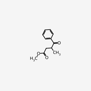 COC(=O)CC(C)C(=O)c1ccccc1